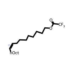 CCCCCCCC/C=C\CCCCCCCCOC(=O)C(F)(F)F